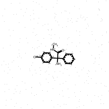 CNC(=O)C(N)(c1ccccc1)c1ccc(Cl)cc1